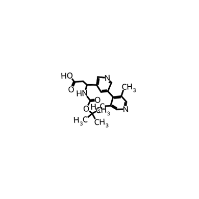 Cc1cncc(C)c1-c1cncc(C(CC(=O)O)NC(=O)OC(C)(C)C)c1